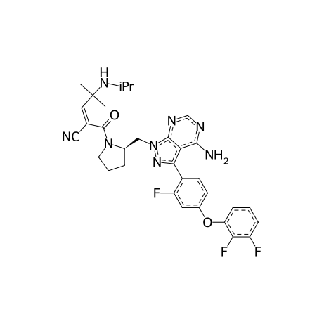 CC(C)NC(C)(C)/C=C(/C#N)C(=O)N1CCC[C@@H]1Cn1nc(-c2ccc(Oc3cccc(F)c3F)cc2F)c2c(N)ncnc21